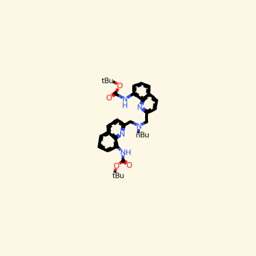 CCCCN(Cc1ccc2cccc(NC(=O)OC(C)(C)C)c2n1)Cc1ccc2cccc(NC(=O)OC(C)(C)C)c2n1